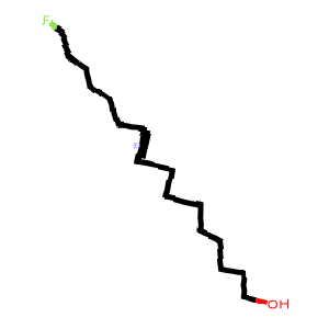 OCCCCCCCC/C=C/CCCCCCF